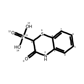 O=C1Nc2ccccc2SC1P(=O)(O)O